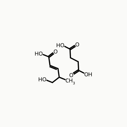 CC(C=CC(=O)O)CO.O=C(O)CCC(=O)O